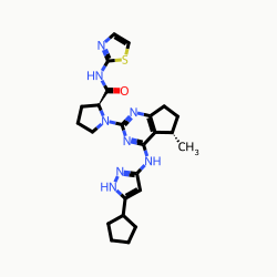 C[C@H]1CCc2nc(N3CCC[C@H]3C(=O)Nc3nccs3)nc(Nc3cc(C4CCCC4)[nH]n3)c21